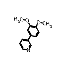 COc1ccc(-c2cccnc2)cc1OC